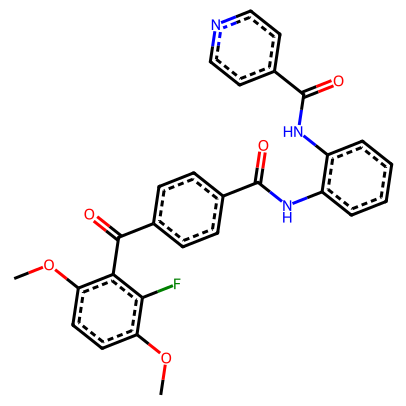 COc1ccc(OC)c(C(=O)c2ccc(C(=O)Nc3ccccc3NC(=O)c3ccncc3)cc2)c1F